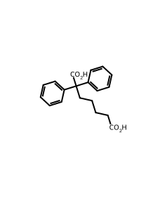 O=C(O)CCCCC(C(=O)O)(c1ccccc1)c1ccccc1